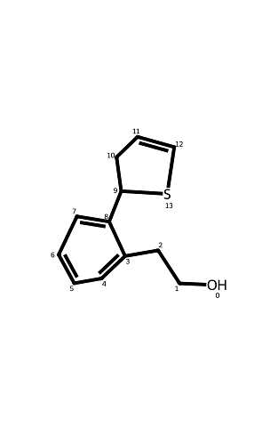 OCCc1ccccc1C1CC=CS1